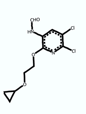 O=CNc1cc(Cl)c(Cl)nc1OCCOC1CC1